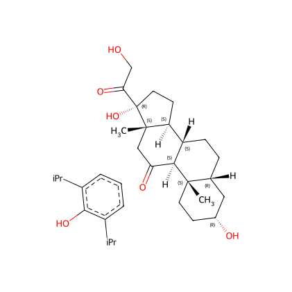 CC(C)c1cccc(C(C)C)c1O.C[C@]12CC[C@@H](O)C[C@H]1CC[C@@H]1[C@@H]2C(=O)C[C@@]2(C)[C@H]1CC[C@]2(O)C(=O)CO